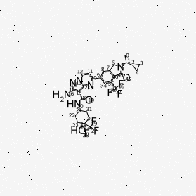 C[C@@H](C1CC1)N1Cc2cc(-c3ccn4nc(N)c(C(=O)N[C@H]5CC[C@](O)(C(F)(F)F)CC5)c4n3)cc(C(F)(F)F)c2C1=O